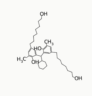 Cc1cc(CCCCCCCCO)cc(C(c2cc(CCCCCCCCO)cc(C)c2O)C2CCCCC2)c1O